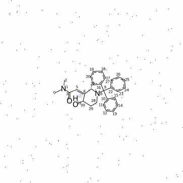 CN(C)C(=O)/C=C1/CN(C(c2ccccc2)(c2ccccc2)c2ccccc2)CCC1O